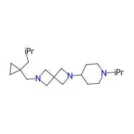 CC(C)CC1(CN2CC3(C2)CN(C2CCN(C(C)C)CC2)C3)CC1